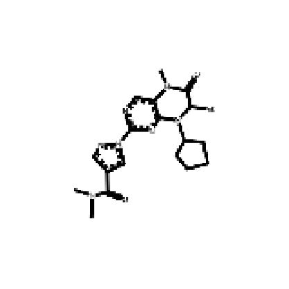 CCC1C(=O)N(C)c2cnc(-n3cc(C(=O)N(C)C)cn3)nc2N1C1CCCC1